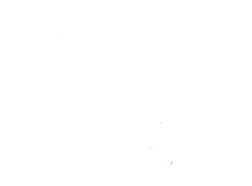 CC1=NC2(CC3(C=C4CC(c5cc(Cl)cc(C#N)c5)=CC=C4C3)CCC2OC(F)F)N=C1N